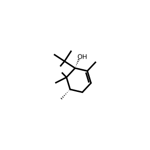 CC1=CC[C@H](C)C(C)(C)[C@@]1(O)C(C)(C)C